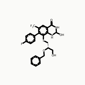 O=C1NC(O)Nc2c1cc(C(F)(F)F)c(-c1ccc(F)cc1)c2SC[C@H](CO)OCc1ccccc1